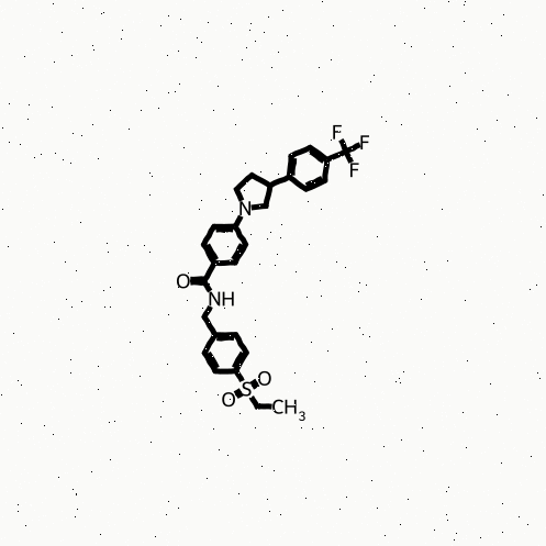 CCS(=O)(=O)c1ccc(CNC(=O)c2ccc(N3CCC(c4ccc(C(F)(F)F)cc4)C3)cc2)cc1